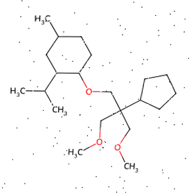 COCC(COC)(COC1CCC(C)CC1C(C)C)C1CCCC1